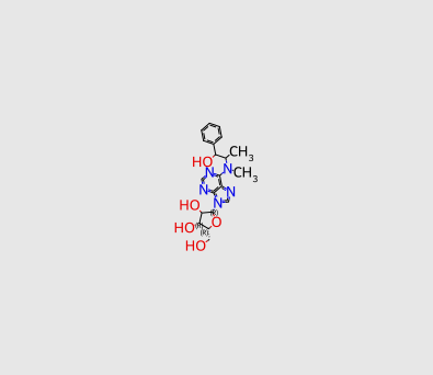 CC(C(O)c1ccccc1)N(C)c1ncnc2c1ncn2[C@@H]1O[C@H](CO)[C@H](O)C1O